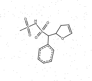 CS(=O)(=O)NS(=O)(=O)C(c1ccccc1)C1CC=CO1